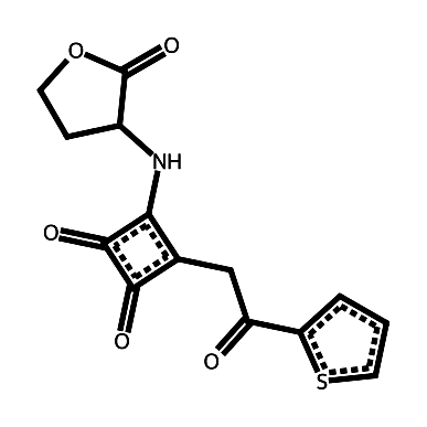 O=C(Cc1c(NC2CCOC2=O)c(=O)c1=O)c1cccs1